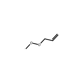 [CH2]OOCC=C